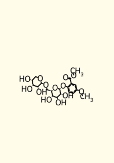 COC(=O)c1cc(OC)ccc1O[C@@H]1O[C@H](CO[C@@H]2OC[C@@H](O)[C@H](O)[C@H]2O)[C@@H](O)[C@H](O)[C@H]1O